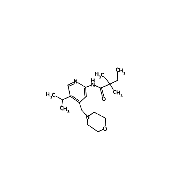 CCC(C)(C)C(=O)Nc1cc(CN2CCOCC2)c(C(C)C)cn1